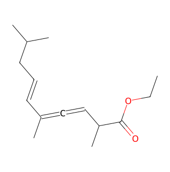 CCOC(=O)C(C)C=C=C(C)C=CCC(C)C